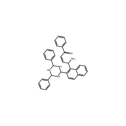 N=C(/C=C\C(N)c1c(C2NC(c3ccccc3)NC(c3ccccc3)N2)ccc2ccccc12)c1ccccc1